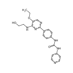 CCOc1cnc(-c2ccc(NC(=O)Nc3ccncc3)cc2)nc1NCCO